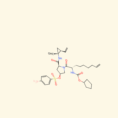 Bc1ccc(S(=O)(=O)O[C@H]2C[C@@H](C(=O)N[C@]3(C=O)C[C@H]3C=C)N(C(=O)[C@H](CCCCCC=C)NC(=O)OC3CCCC3)C2)cc1